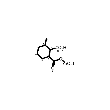 CCCCCCCCOC(=O)C1CCCC(C)C1C(=O)O